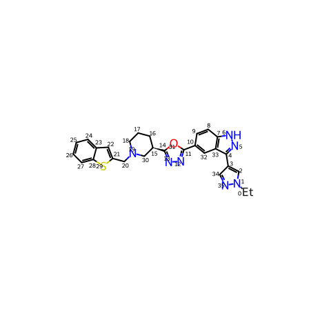 CCn1cc(-c2n[nH]c3ccc(-c4nnc([C@@H]5CCCN(Cc6cc7ccccc7s6)C5)o4)cc23)cn1